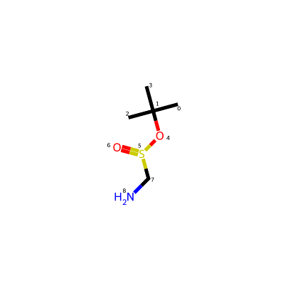 CC(C)(C)OS(=O)CN